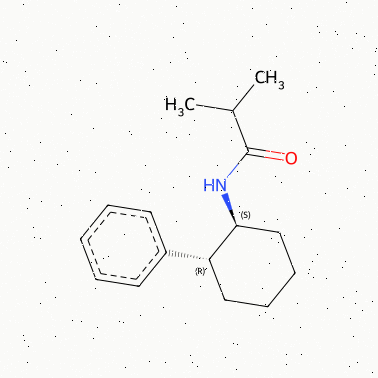 CC(C)C(=O)N[C@H]1CCCC[C@@H]1c1ccccc1